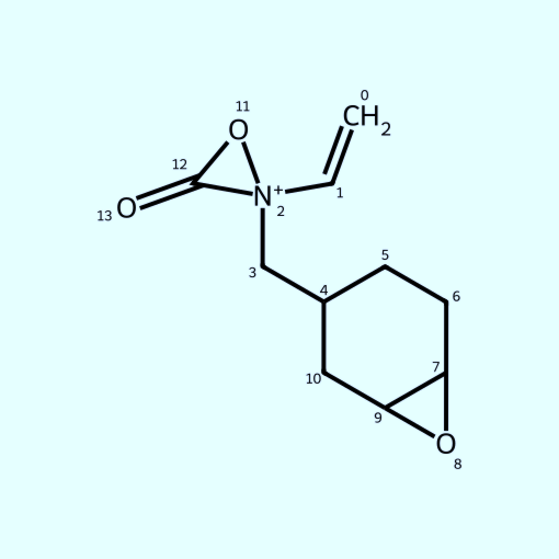 C=C[N+]1(CC2CCC3OC3C2)OC1=O